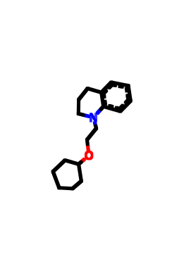 c1ccc2c(c1)CCCN2CCOC1CCCCC1